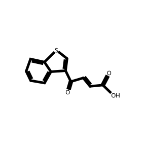 O=C(O)C=CC(=O)c1csc2ccccc12